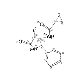 C[C@@H]1C(=O)NC(c2ccccc2)[C@H]1NC(=O)C1CC1